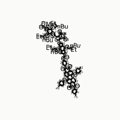 CCCCC(CC)COc1c2cc(-c3sc(-c4cc5c(OCC(CC)CCCC)c6sc(C(=O)Oc7ccc(N8C(=O)c9ccc%10c%11c(Oc%12ccc(C)cc%12)cc%12c%13c(ccc(c%14c(Oc%15ccc(C)cc%15)cc(c9c%10%14)C8=O)c%13%11)C(=O)N(c8ccc(C)cc8)C%12=O)cc7)cc6c(OCC(CC)CCCC)c5s4)c4c3C(=O)N(C)C4=O)sc2c(OCC(CC)CCCC)c2cc(C(=O)OC)sc12